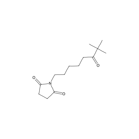 CC(C)(C)C(=O)CCCCCN1C(=O)CCC1=O